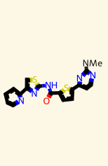 CNc1nccc(-c2ccc(C(=O)Nc3nc(-c4ccccn4)cs3)s2)n1